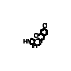 CC(C)CN(Cc1ccc(Cl)cc1Cl)C[C@@H]1CCNC1